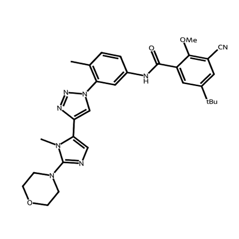 COc1c(C#N)cc(C(C)(C)C)cc1C(=O)Nc1ccc(C)c(-n2cc(-c3cnc(N4CCOCC4)n3C)nn2)c1